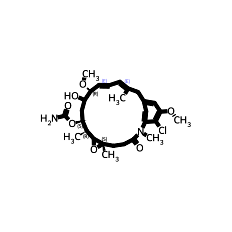 COc1cc2cc(c1Cl)N(C)C(=O)CC[C@]1(C)OC1[C@H](C)[C@@H](OC(N)=O)CC(O)[C@H](OC)/C=C/C=C(\C)C2